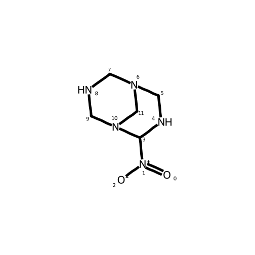 O=[N+]([O-])C1NCN2CNCN1C2